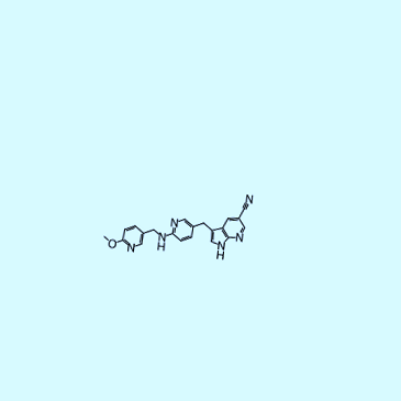 COc1ccc(CNc2ccc(Cc3c[nH]c4ncc(C#N)cc34)cn2)cn1